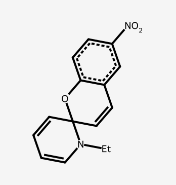 CCN1C=CC=CC12C=Cc1cc([N+](=O)[O-])ccc1O2